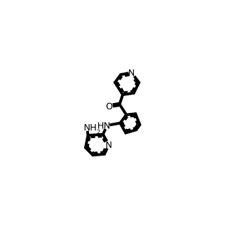 Nc1cccnc1Nc1ccccc1C(=O)c1ccncc1